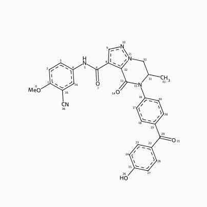 COc1ccc(NC(=O)c2cnn3c2C(=O)N(c2ccc(C(=O)c4ccc(O)cc4)cc2)C(C)C3)cc1C#N